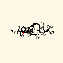 CC(C)OC(=O)c1coc(-c2nc3oc2C24c5ccccc5N[C@H]2Oc2ccc(cc24)C[C@H](NC(=O)[C@@H](O)C(C)C)C(=O)N[C@H]3C(C)C)n1